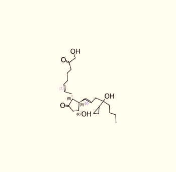 CCCCC(O)(C/C=C/[C@H]1[C@H](O)CC(=O)[C@@H]1C/C=C\CCCC(=O)CO)C1CC1